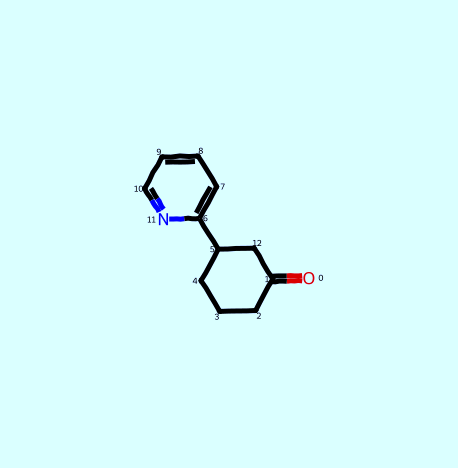 O=C1CCCC(c2ccccn2)C1